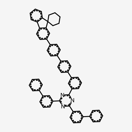 c1ccc(-c2cccc(-c3nc(-c4cccc(-c5ccccc5)c4)nc(-c4cccc(-c5ccc(-c6ccc(-c7ccc8c(c7)C7(CCCCC7)c7ccccc7-8)cc6)cc5)c4)n3)c2)cc1